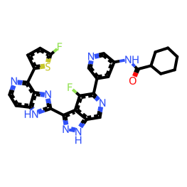 O=C(Nc1cncc(-c2ncc3[nH]nc(-c4nc5c(-c6ccc(F)s6)nccc5[nH]4)c3c2F)c1)C1CCCCC1